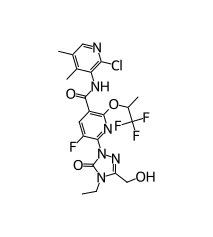 CCn1c(CO)nn(-c2nc(OC(C)C(F)(F)F)c(C(=O)Nc3c(Cl)ncc(C)c3C)cc2F)c1=O